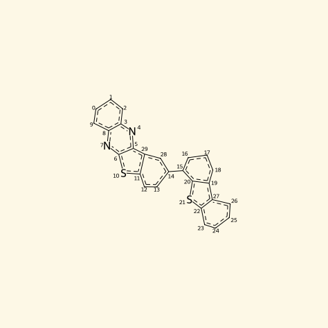 c1ccc2nc3c(nc2c1)sc1ccc(-c2cccc4c2sc2ccccc24)cc13